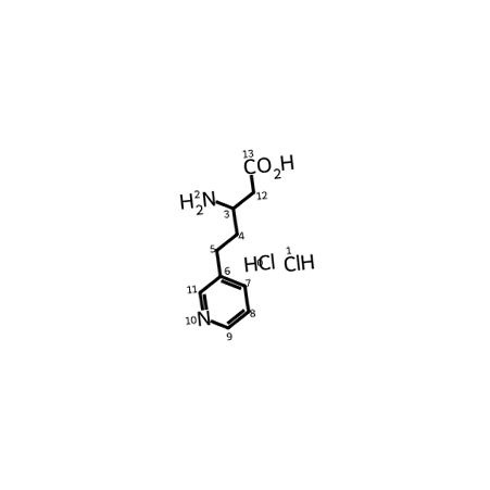 Cl.Cl.NC(CCc1cccnc1)CC(=O)O